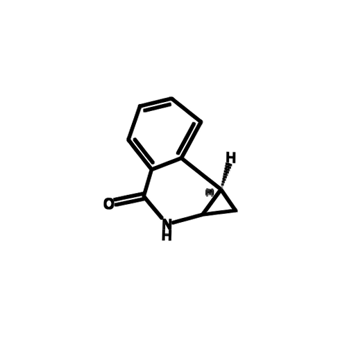 O=C1NC2C[C@@H]2c2ccccc21